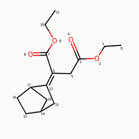 CCOC(=O)CC(C(=O)OCC)=C1CC2CCC1C2